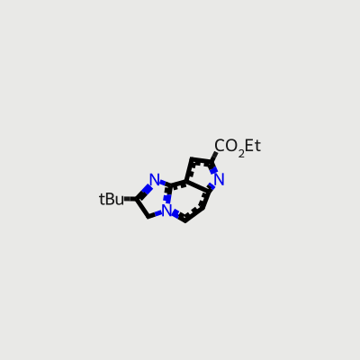 CCOC(=O)c1cc2c3n(ccc-2n1)CC(C(C)(C)C)=N3